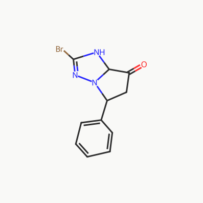 O=C1CC(c2ccccc2)N2N=C(Br)NC12